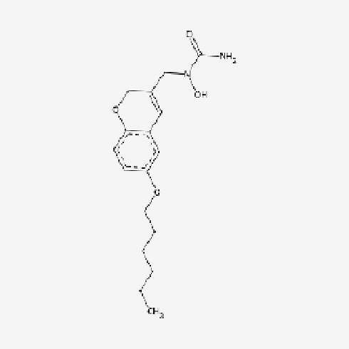 CCCCCCOc1ccc2c(c1)C=C(CN(O)C(N)=O)CO2